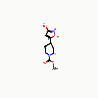 CC(C)(C)OC(=O)N1CCC(c2cc(O)no2)CC1